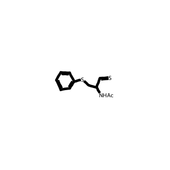 CC(=O)NC([C]=S)CSc1ccccc1